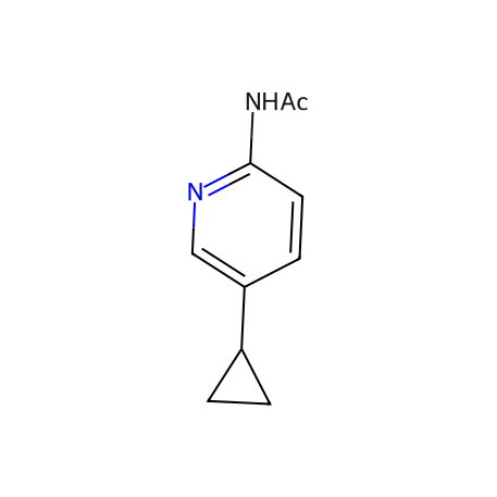 CC(=O)Nc1ccc(C2CC2)cn1